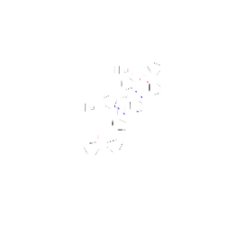 Cc1cc2c3c(c1)N(c1cccc4c1oc1ccccc14)c1cc(C(C)(C)C)ccc1B3c1ccc(C(C)(C)C)cc1N2c1ccc(-c2cccc3c2oc2ccccc23)cc1